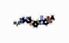 Cn1cc(-c2cc(Oc3ccc4nc(NC5CCCN(S(=O)(=O)C6CC6)C5)sc4c3)ccn2)cn1